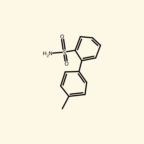 Cc1ccc(-c2ccccc2S(N)(=O)=O)cc1